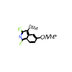 COc1ccc2c(F)nc(F)c(OC)c2c1